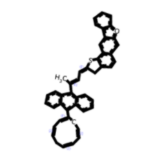 C/C(=C\C=C1/Cc2ccc3cc4oc5ccccc5c4cc3c2S1)c1c2ccccc2c(/C2=C/C=C\C/C=C\C=C/C2)c2ccccc12